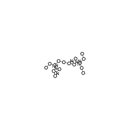 c1ccc(-c2ccc(-c3cc(-c4cccc(-c5ccccc5)c4)nc(N4c5ccccc5-c5nc6cc(-c7ccc(-c8cccc(-c9cc(-c%10cccc(-c%11ccccc%11)c%10)nc(N%10c%11ccccc%11-c%11nc%12ccccc%12c%12cccc%10c%11%12)n9)c8)cc7)ccc6c6cccc4c56)n3)cc2)cc1